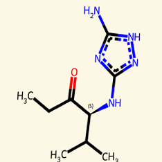 CCC(=O)[C@@H](Nc1n[nH]c(N)n1)C(C)C